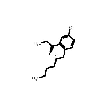 C=C(CC)c1cc(Cl)ccc1CCCCCC